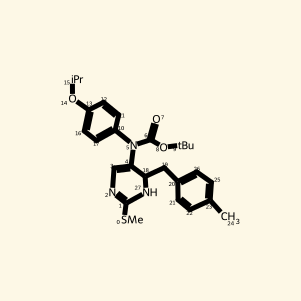 CSC1=NC=C(N(C(=O)OC(C)(C)C)c2ccc(OC(C)C)cc2)C(Cc2ccc(C)cc2)N1